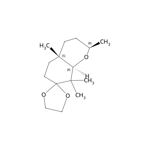 C[C@@H]1CC[C@@]2(C)CCC3(OCCO3)C(C)(C)[C@@H]2O1